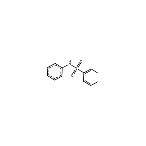 C/C=C\C(=C/C)S(=O)(=O)Nc1ccccc1